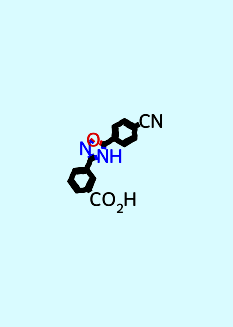 N#Cc1ccc(C2NC(c3cccc(C(=O)O)c3)=NO2)cc1